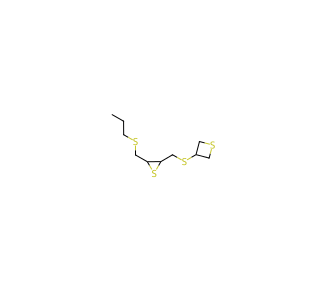 CCCSCC1SC1CSC1CSC1